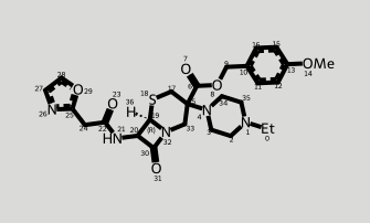 CCN1CCN(C2(C(=O)OCc3ccc(OC)cc3)CS[C@@H]3C(NC(=O)Cc4ncco4)C(=O)N3C2)CC1